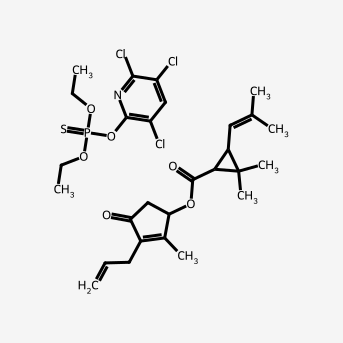 C=CCC1=C(C)C(OC(=O)C2C(C=C(C)C)C2(C)C)CC1=O.CCOP(=S)(OCC)Oc1nc(Cl)c(Cl)cc1Cl